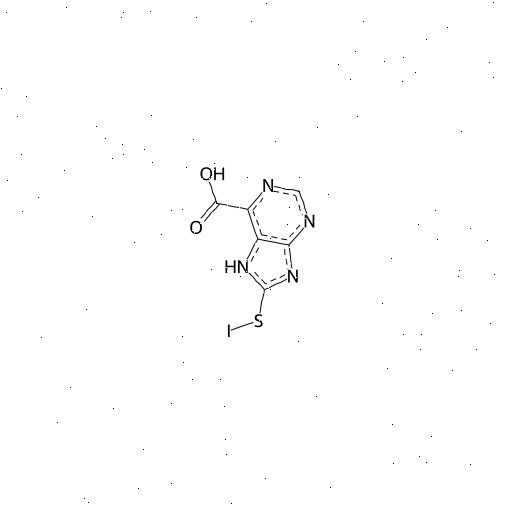 O=C(O)c1ncnc2nc(SI)[nH]c12